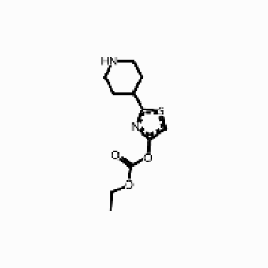 CCOC(=O)Oc1csc(C2CCNCC2)n1